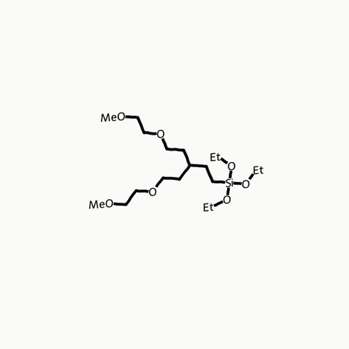 CCO[Si](CCC(CCOCCOC)CCOCCOC)(OCC)OCC